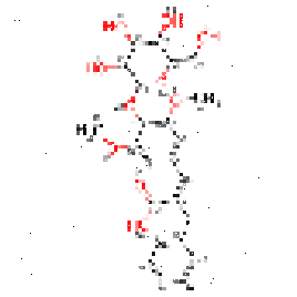 COc1cc(C=C(Cc2ccccc2)C(=O)O)cc(OC)c1O[C@@H]1O[C@H](CO)[C@H](O)[C@H](O)[C@H]1O